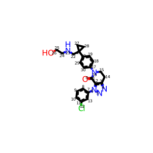 O=C1c2c(nnn2-c2cccc(Cl)c2)CCN1c1ccc(C2(CNCCO)CC2)cc1